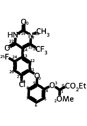 CCOC(=O)C(OC)Oc1ccccc1Oc1cc(-c2c(C(F)(F)F)n(C)c(=O)[nH]c2=O)c(F)cc1Cl